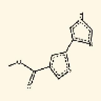 COC(=O)c1csc(-c2c[nH]cn2)c1